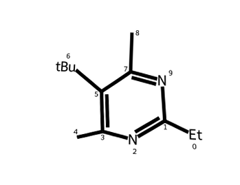 CCc1nc(C)c(C(C)(C)C)c(C)n1